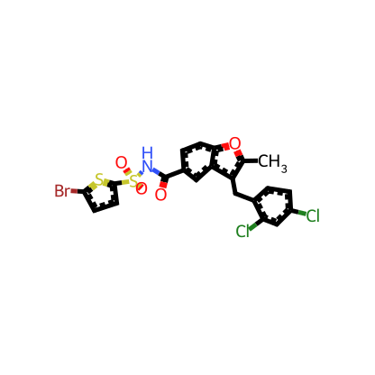 Cc1oc2ccc(C(=O)NS(=O)(=O)c3ccc(Br)s3)cc2c1Cc1ccc(Cl)cc1Cl